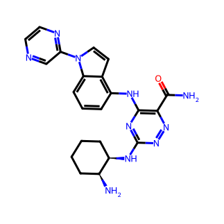 NC(=O)c1nnc(N[C@@H]2CCCC[C@@H]2N)nc1Nc1cccc2c1ccn2-c1cnccn1